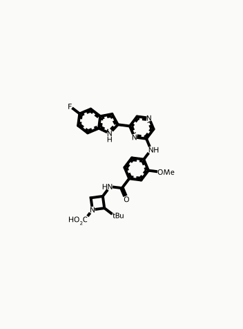 COc1cc(C(=O)NC2CN(C(=O)O)C2C(C)(C)C)ccc1Nc1cncc(-c2cc3cc(F)ccc3[nH]2)n1